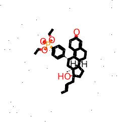 C/C=C/C[C@]1(O)CC[C@H]2[C@@H]3CCC4=CC(=O)CCC4=C3[C@@H](c3ccc(P(=O)(OCC)OCC)cc3)C[C@@]21C